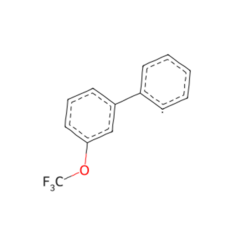 FC(F)(F)Oc1cccc(-c2[c]cccc2)c1